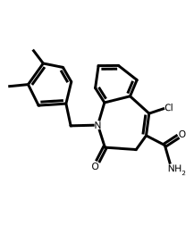 Cc1ccc(CN2C(=O)CC(C(N)=O)=C(Cl)c3ccccc32)cc1C